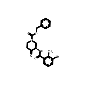 Cc1c(Br)cccc1C(=O)N[C@@H]1CN(C(=O)OCc2ccccc2)CCC1=O